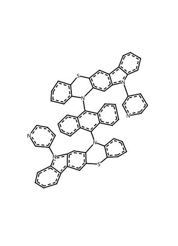 c1cncc(-n2c3ccccc3c3cc4c(cc32)N(c2c3ccccc3c(N3c5ccccc5Sc5cc6c7ccccc7n(-c7cccnc7)c6cc53)c3ccccc23)c2ccccc2S4)c1